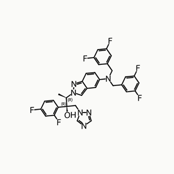 C[C@@H](n1cc2cc(N(Cc3cc(F)cc(F)c3)Cc3cc(F)cc(F)c3)ccc2n1)[C@](O)(Cn1cncn1)c1ccc(F)cc1F